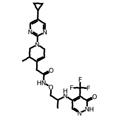 CC(CONC(=O)CC1=CCN(c2ncc(C3CC3)cn2)CC1C)Nc1cn[nH]c(=O)c1C(F)(F)F